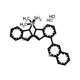 CCCCC1=Cc2c(-c3cnc4ccccc4c3)cccc2[CH]1[Zr]([CH3])([CH3])(=[SiH2])[CH]1C=Cc2ccccc21.Cl.Cl